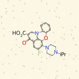 CC(C)N1CCN(c2c(F)cc3c(=O)c(C(=O)O)cn4c3c2Oc2ccccc2-4)CC1